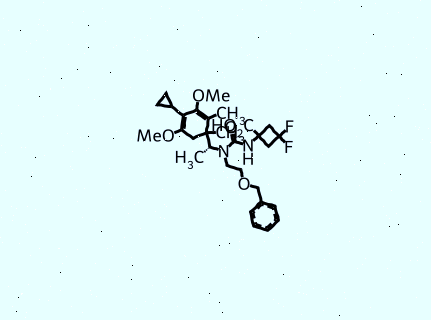 COC1=C(C2CC2)C(OC)=C(C)C(C)([C@@H](C)N(CCOCc2ccccc2)C(=O)NC2(C(=O)O)CC(F)(F)C2)C1